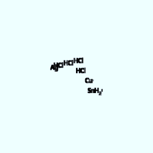 Cl.Cl.Cl.Cl.[Ag].[Cu].[SnH2]